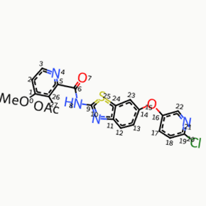 COc1ccnc(C(=O)Nc2nc3ccc(Oc4ccc(Cl)nc4)cc3s2)c1OC(C)=O